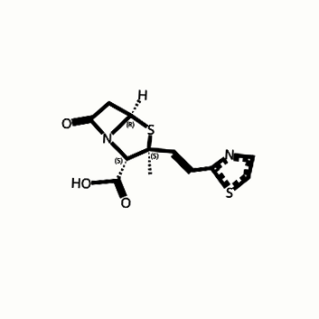 C[C@@]1(C=Cc2nccs2)S[C@@H]2CC(=O)N2[C@H]1C(=O)O